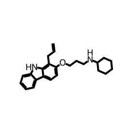 C=CCc1c(OCCCNC2CCCCC2)ccc2c1[nH]c1ccccc12